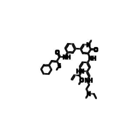 C=CC(NC(=C\NCCN(C)CC)/C=C(\C=C/C)Nc1cc(-c2cccc(NC(=O)/C(=C/C3=CCCCC3)SC)c2)cn(C)c1=O)OC